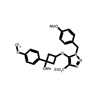 CCOC(=O)c1nnn(Cc2ccc(OC)cc2)c1OC1CC(OC)(c2ccc(OC(F)(F)F)cc2)C1